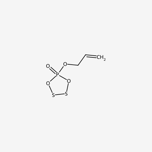 C=CCOP1(=O)OSSO1